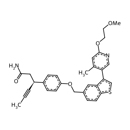 CC#C[C@@H](CC(N)=O)c1ccc(OCc2ccc3scc(-c4cnc(OCCOC)cc4C)c3c2)cc1